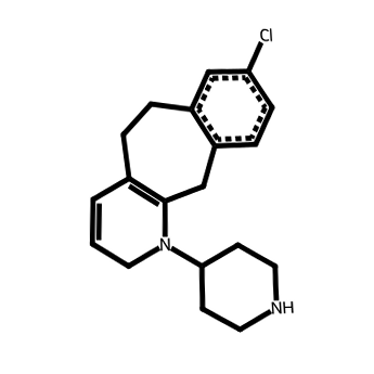 Clc1ccc2c(c1)CCC1=C(C2)N(C2CCNCC2)CC=C1